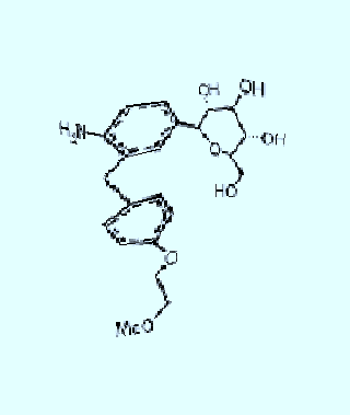 COCCOc1ccc(Cc2cc([C@@H]3O[C@H](CO)[C@@H](O)[C@H](O)[C@H]3O)ccc2N)cc1